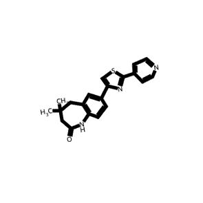 CC1(C)CC(=O)Nc2ccc(-c3csc(-c4ccncc4)n3)cc2C1